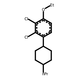 CCCC1CCC(c2ccc(OCC)c(Cl)c2Cl)CC1